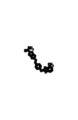 Cc1cccc2sc(Oc3ccc(CCN4C=C5CN(C(N)=O)CC5C4)cc3)nc12